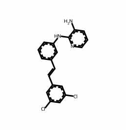 Nc1cccnc1Nc1cccc(C=Cc2cc(Cl)cc(Cl)c2)c1